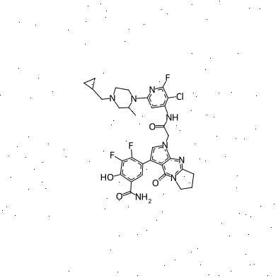 CC1CN(CC2CC2)CCN1c1cc(NC(=O)Cn2cc(-c3cc(C(N)=O)c(O)c(F)c3F)c3c(=O)n4c(nc32)CCC4)c(Cl)c(F)n1